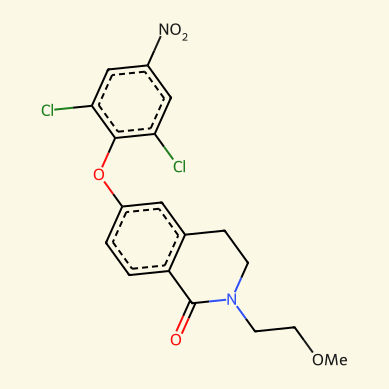 COCCN1CCc2cc(Oc3c(Cl)cc([N+](=O)[O-])cc3Cl)ccc2C1=O